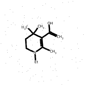 C=C(O)C1=C(C)N(CC)CCC1(C)C